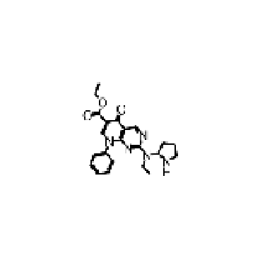 CCOC(=O)c1cn(-c2ccccc2)c2nc(N(CC)C3CCCN3)ncc2c1=O